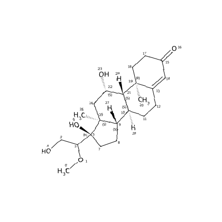 COC(CO)[C@@]1(O)CC[C@H]2[C@@H]3CCC4=CC(=O)CC[C@]4(C)[C@H]3[C@@H](O)C[C@@]21C